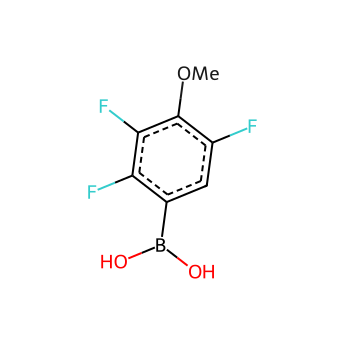 COc1c(F)cc(B(O)O)c(F)c1F